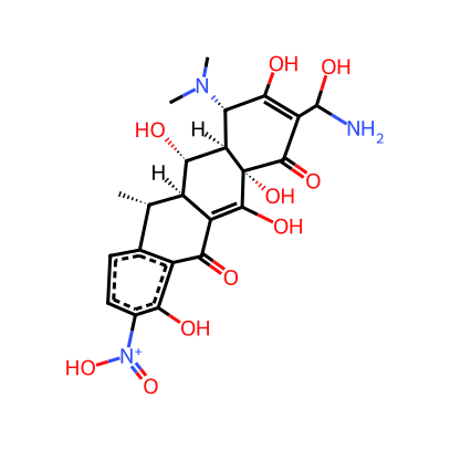 C[C@H]1c2ccc([N+](=O)O)c(O)c2C(=O)C2=C(O)[C@]3(O)C(=O)C(C(N)O)=C(O)[C@@H](N(C)C)[C@@H]3[C@@H](O)[C@@H]21